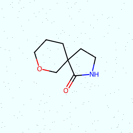 O=C1NCCC12CCCOC2